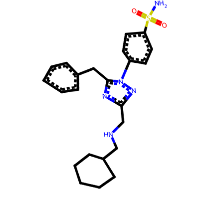 NS(=O)(=O)c1ccc(-n2nc(CNCC3CCCCC3)nc2Cc2ccccc2)cc1